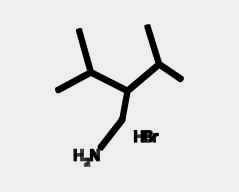 Br.CC(C)C(CN)C(C)C